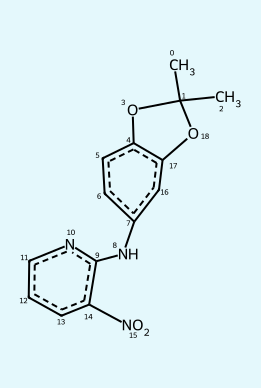 CC1(C)Oc2ccc(Nc3ncccc3[N+](=O)[O-])cc2O1